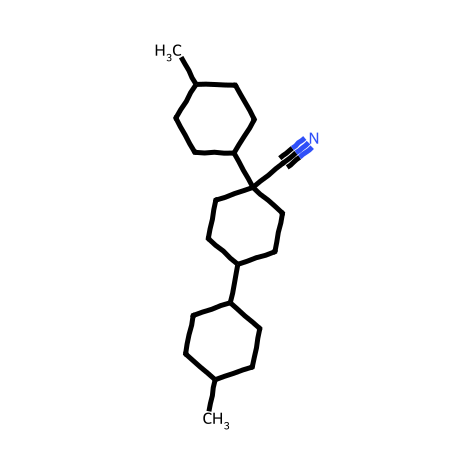 CC1CCC(C2CCC(C#N)(C3CCC(C)CC3)CC2)CC1